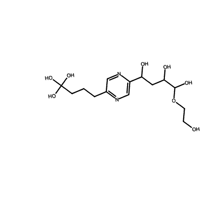 OCCOC(O)C(O)CC(O)c1cnc(CCCC(O)(O)O)cn1